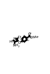 CCc1n[nH]c(N)c1Oc1ccc(C(=O)OC)cc1